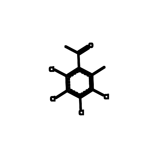 CC(=O)c1c(C)c(Cl)c(Cl)c(Cl)c1Cl